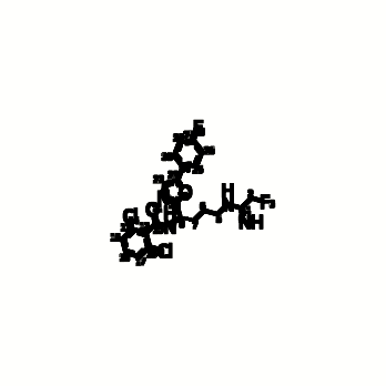 N=C(CF)NCCC[C@H](NC(=O)c1c(Cl)cccc1Cl)c1ncc(-c2ccc(F)cc2)o1